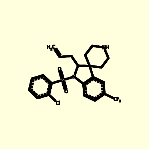 C=CCC1N(S(=O)(=O)c2ccccc2Cl)c2ccc(C(F)(F)F)cc2C12CCNCC2